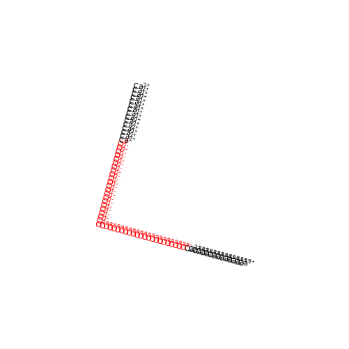 [Ca+2].[Ca+2].[Ca+2].[Ca+2].[Ca+2].[Ca+2].[Ca+2].[Ca+2].[Ca+2].[Ca+2].[Ca+2].[Ca+2].[Ca+2].[Ca+2].[Ca+2].[Ca+2].[Ca+2].[Ca+2].[Ca+2].[Ca+2].[Ca+2].[Ca+2].[Ca+2].[Ca+2].[Ca+2].[Ca+2].[Ca+2].[Ca+2].[Ca+2].[Ca+2].[O-2].[O-2].[O-2].[O-2].[O-2].[O-2].[O-2].[O-2].[O-2].[O-2].[O-2].[O-2].[O-2].[O-2].[O-2].[O-2].[O-2].[O-2].[O-2].[O-2].[O-2].[O-2].[O-2].[O-2].[O-2].[O-2].[O-2].[O-2].[O-2].[O-2].[O-2].[O-2].[O-2].[O-2].[O-2].[O-2].[O-2].[O-2].[O-2].[O-2].[O-2].[O-2].[O-2].[O-2]